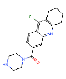 O=C(c1ccc2c(Cl)c3c(nc2c1)CCCC3)N1CCNCC1